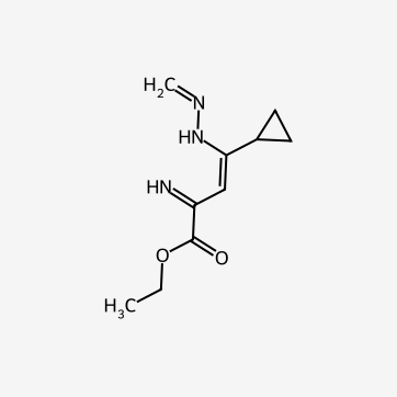 C=NN/C(=C\C(=N)C(=O)OCC)C1CC1